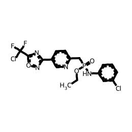 CCOP(=O)(Cc1ccc(-c2noc(C(F)(F)Cl)n2)cn1)Nc1cccc(Cl)c1